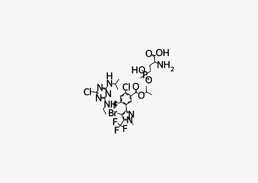 CC(C)OC(=O)c1cc(-c2nn(C)c(C(F)(F)F)c2Br)c(F)cc1Cl.CCNc1nc(Cl)nc(NC(C)C)n1.CP(=O)(O)CCC(N)C(=O)O